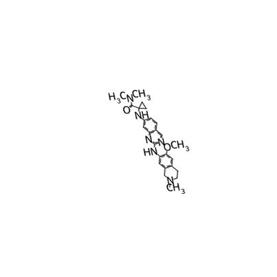 COc1cc2c(cc1Nc1ncc3ccc(NC4(C(=O)N(C)C)CC4)cc3n1)CN(C)CC2